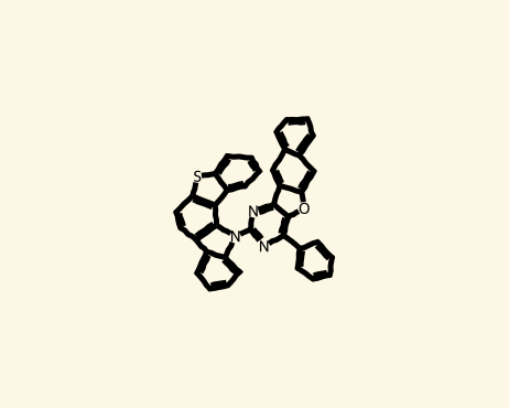 c1ccc(-c2nc(-n3c4ccccc4c4ccc5sc6ccccc6c5c43)nc3c2oc2cc4ccccc4cc23)cc1